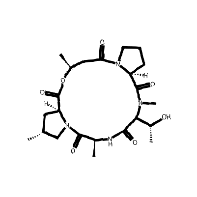 C[C@@H]1C[C@H]2C(=O)O[C@@H](C)CC(=O)N3CCC[C@H]3C(=O)N(C)C([C@@H](C)O)C(=O)N[C@@H](C)C(=O)N2C1